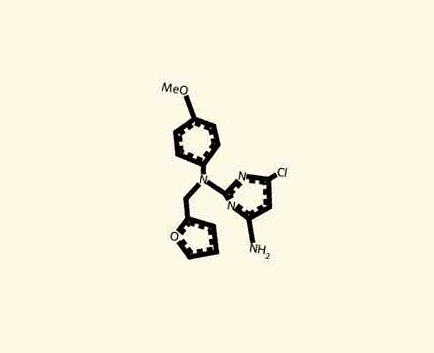 COc1ccc(N(Cc2ccco2)c2nc(N)cc(Cl)n2)cc1